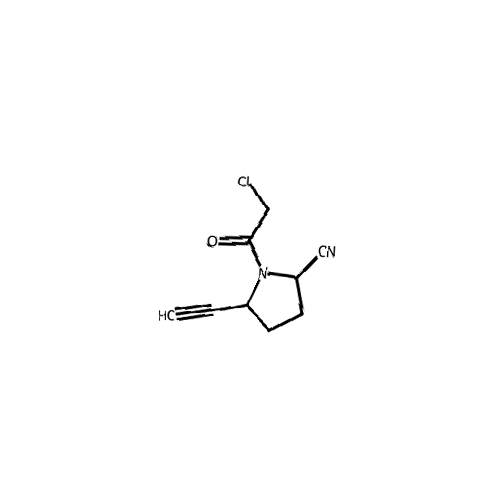 C#CC1CCC(C#N)N1C(=O)CCl